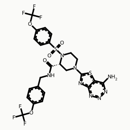 Nc1nnnc2nc(N3CCN(S(=O)(=O)c4ccc(OC(F)(F)F)cc4)[C@@H](C(=O)NCc4ccc(OC(F)(F)F)cc4)C3)sc12